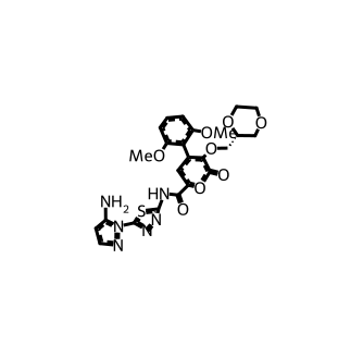 COc1cccc(OC)c1-c1cc(C(=O)Nc2nnc(-n3nccc3N)s2)oc(=O)c1OC[C@H]1COCCO1